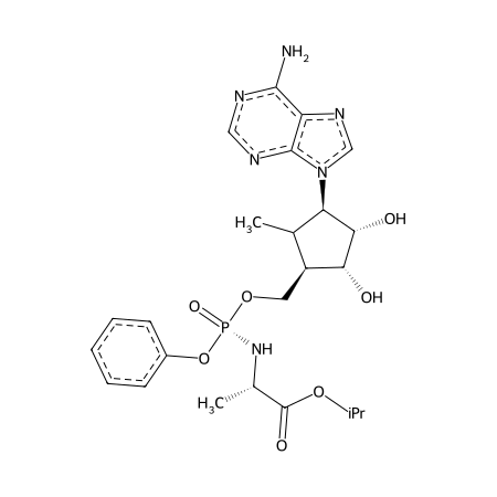 CC(C)OC(=O)[C@H](C)N[P@](=O)(OC[C@H]1C(C)[C@@H](n2cnc3c(N)ncnc32)[C@H](O)[C@@H]1O)Oc1ccccc1